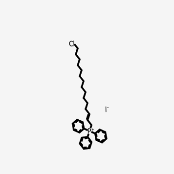 ClCCCCCCCCCCCCC=CC[P+](c1ccccc1)(c1ccccc1)c1ccccc1.[I-]